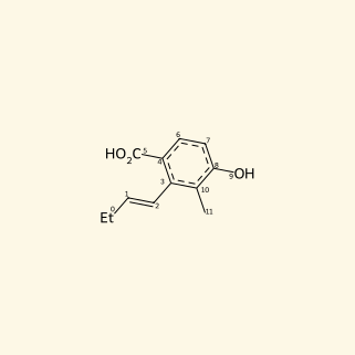 CCC=Cc1c(C(=O)O)ccc(O)c1C